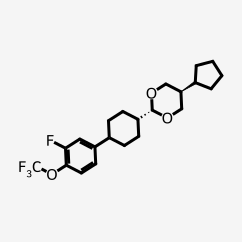 Fc1cc(C2CCC([C@H]3OC[C@H](C4CCCC4)CO3)CC2)ccc1OC(F)(F)F